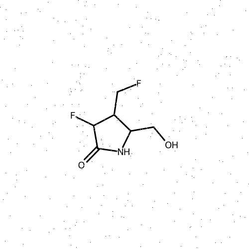 O=C1NC(CO)C(CF)C1F